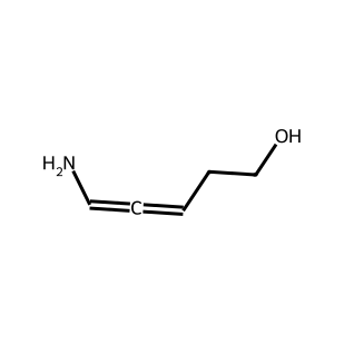 NC=C=CCCO